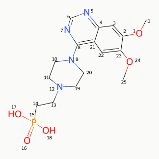 COc1cc2ncnc(N3CCN(CCP(=O)(O)O)CC3)c2cc1OC